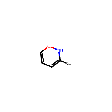 [2H]C1=CC=CON1